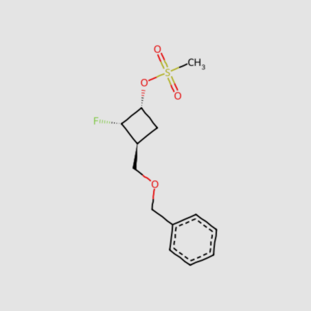 CS(=O)(=O)O[C@@H]1C[C@@H](COCc2ccccc2)[C@@H]1F